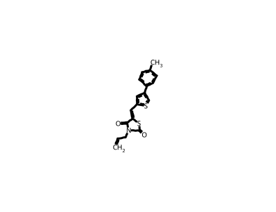 C=CCN1C(=O)S/C(=C\c2cc(-c3ccc(C)cc3)cs2)C1=O